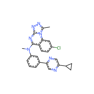 Cc1nnc2nc(N(C)c3cccc(-c4cnc(C5CC5)cn4)c3)c3ccc(Cl)cc3n12